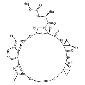 CC[C@@H]1C[C@@]12NC(=O)[C@@H]1C[C@H](CN1C(=O)[C@@H](NC(=O)OC(C)(C)C)C(C)(C)C)Oc1nc3c(cccc3n1C(C)C)-c1nc(C(C)C)c(s1)CCC=CCCC1(CC1)S(=O)(=O)NC2=O